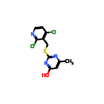 Cc1cc(O)nc(SCc2c(Cl)ccnc2Cl)n1